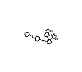 C(#Cc1cccc(-c2nnn[nH]2)c1-c1ccc2cc[nH]c2c1)c1ccc(COC2CCOCC2)cc1